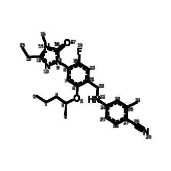 CCC[C@H](C)Oc1cc(-n2nc(CC)n(C)c2=O)c(F)cc1CNc1ccc(C#N)c(C)c1